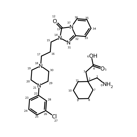 NCC1(CC(=O)O)CCCCC1.O=c1n(CCCN2CCN(c3cccc(Cl)c3)CC2)nc2ccccn12